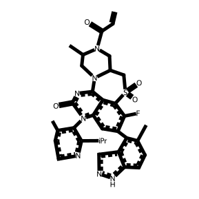 C=CC(=O)N1CC2CS(=O)(=O)c3c(F)c(-c4c(C)ccc5[nH]ncc45)cc4c3c(nc(=O)n4-c3c(C)ccnc3C(C)C)N2CC1C